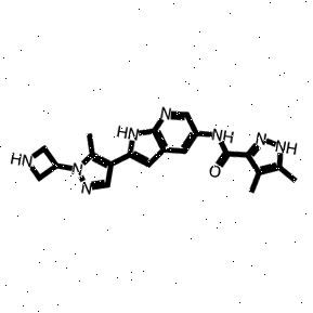 Cc1[nH]nc(C(=O)Nc2cnc3[nH]c(-c4cnn(C5CNC5)c4C)cc3c2)c1C